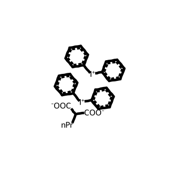 CCCC(C(=O)[O-])C(=O)[O-].c1ccc([I+]c2ccccc2)cc1.c1ccc([I+]c2ccccc2)cc1